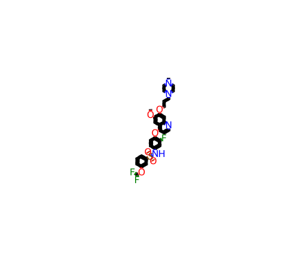 COc1cc2c(Oc3ccc(NS(=O)(=O)c4cccc(OC(F)F)c4)cc3F)ccnc2cc1OCCCN1CCN(C)CC1